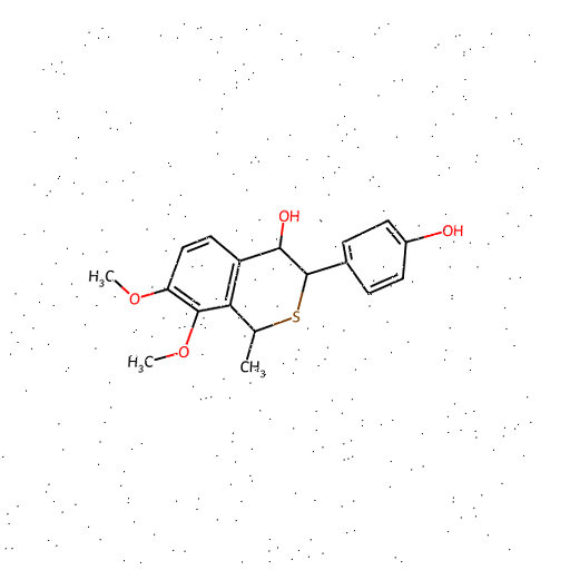 COc1ccc2c(c1OC)C(C)SC(c1ccc(O)cc1)C2O